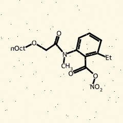 CCCCCCCCOCC(=O)N(C)c1cccc(CC)c1C(=O)O[N+](=O)[O-]